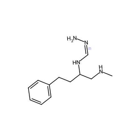 CNCC(CCc1ccccc1)N/C=N\N